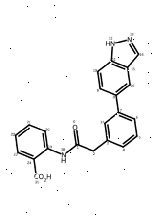 O=C(Cc1cccc(-c2ccc3[nH]ncc3c2)c1)Nc1ccccc1C(=O)O